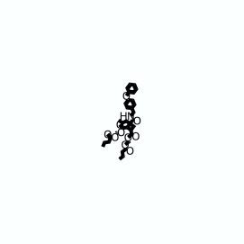 CCCC(=O)OCOC(=O)C1CC(CCC)(C(=O)NCc2ccc(Oc3ccccc3)cc2)C1C(=O)OCOC(=O)CCC